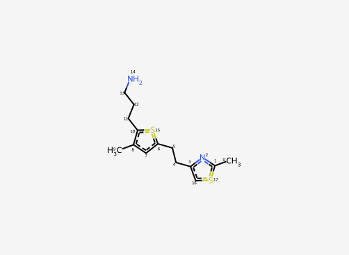 Cc1nc(CCc2cc(C)c(CCCN)s2)cs1